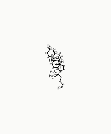 C=C(CCCC(C)C)[C@H]1CC[C@H]2[C@@H]3CCC4=CC(=O)CC[C@]4(C)[C@H]3CC[C@]12C